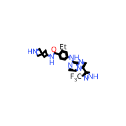 CCc1cc(Nc2nccn3c(-c4c[nH]nc4C(F)(F)F)cnc23)ccc1C(=O)NC1CC2(CNC2)C1